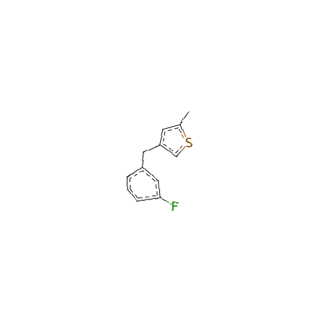 Cc1cc(Cc2cccc(F)c2)cs1